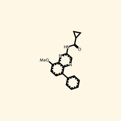 COc1ccc(-c2ccccc2)c2ncc(NC(=O)C3CC3)nc12